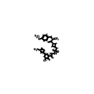 COc1ccc(CN(C)C(=O)N2CC(CS(=O)(=O)NNC(=O)c3cc(-c4cn(C)cn4)cc(Cl)c3F)C2)cc1